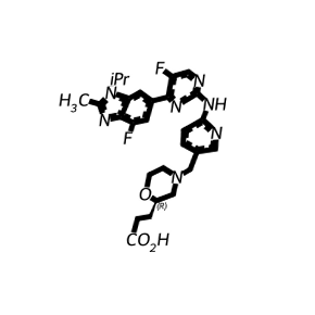 Cc1nc2c(F)cc(-c3nc(Nc4ccc(CN5CCO[C@H](CCC(=O)O)C5)cn4)ncc3F)cc2n1C(C)C